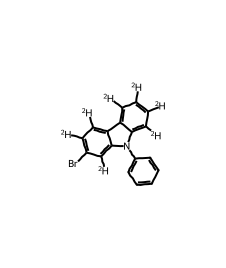 [2H]c1c([2H])c([2H])c2c(c1[2H])c1c([2H])c([2H])c(Br)c([2H])c1n2-c1ccccc1